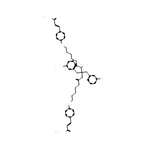 COC(=O)/C=C/c1ccc(OCCCCCC(=O)C(O)C(Cc2cccc(N)c2)(Cc2cccc(N)c2)C(O)C(=O)CCCCCOc2ccc(/C=C/C(=O)OC)cc2)cc1